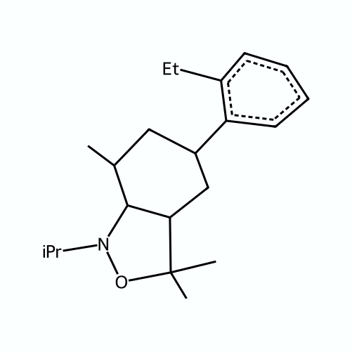 CCc1ccccc1C1CC(C)C2C(C1)C(C)(C)ON2C(C)C